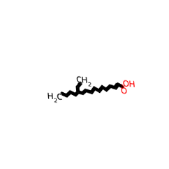 C=CCCCC(CC=C)CCCCCCCCC=CC(=O)O